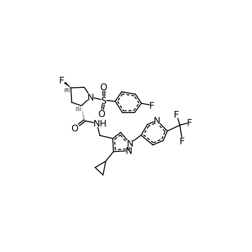 O=C(NCc1cn(-c2ccc(C(F)(F)F)nc2)nc1C1CC1)[C@@H]1C[C@@H](F)CN1S(=O)(=O)c1ccc(F)cc1